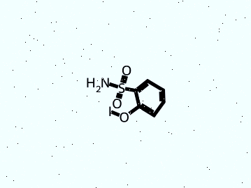 NS(=O)(=O)c1ccccc1OI